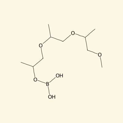 COCC(C)OCC(C)OCC(C)OB(O)O